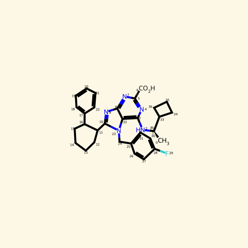 C[C@@H](Nc1nc(C(=O)O)nc2nc(C3CCCCC3c3ccccc3)n(Cc3ccc(F)cc3)c12)C1CCC1